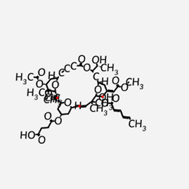 C/C=C/C=C/C(=O)O[C@H]1/C(=C/C(=O)OC)C[C@H]2C[C@H]([C@@H](C)O)OC(=O)CCC[C@@H]3C[C@H](OC(C)=O)C(C)(C)[C@](OC)(C[C@@H]4C[C@H](OC(=O)CCC(=O)O)C[C@H](/C=C/C(C)(C)[C@]1(O)O2)O4)O3